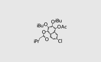 CCC(C)Oc1c(OC(C)CC)c(OC(=O)CC(C)C)c2ccc(Cl)cc2c1OC(C)=O